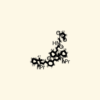 CCCN1/C(=C/C=C2\CCCC(/C=C/C3=[N+](CCC)c4ccccc4C3(C)C)=C2Oc2ccc(CCC(=O)NCCN3C(=O)C=CC3=O)cc2)C(C)(C)c2ccccc21